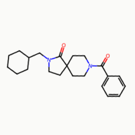 O=C(c1ccccc1)N1CCC2(CC1)CCN(CC1CCCCC1)C2=O